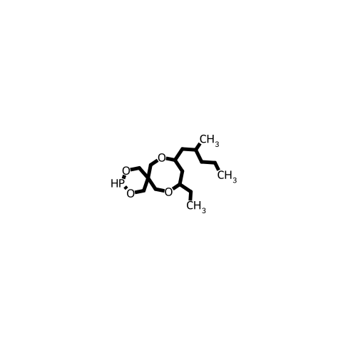 CCCC(C)CC1CC(CC)OCC2(COPOC2)CO1